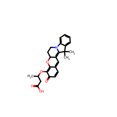 CC(CC(=O)O)OC1=C2OC3CCN4C(=C3C=C2C=CC1=O)C(C)(C)c1ccccc14